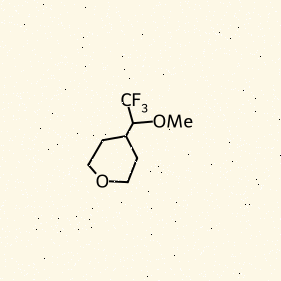 COC(C1CCOCC1)C(F)(F)F